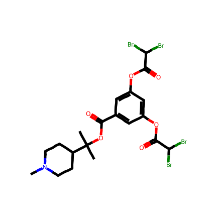 CN1CCC(C(C)(C)OC(=O)c2cc(OC(=O)C(Br)Br)cc(OC(=O)C(Br)Br)c2)CC1